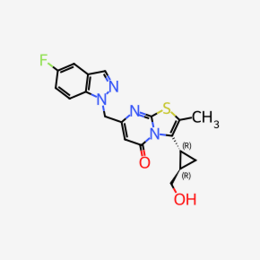 Cc1sc2nc(Cn3ncc4cc(F)ccc43)cc(=O)n2c1[C@@H]1C[C@H]1CO